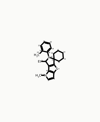 CCC1c2c(sc3ccn(C)c23)C2(CCCCC2)N1c1ccccc1C